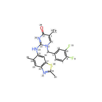 CCc1cn(Cc2ccc(F)c(F)c2)c(Nc2cc3sc(C)nc3cc2C)nc1=O